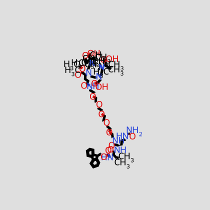 CC(C)[C@@H](NC(=O)OCC1c2ccccc2-c2ccccc21)C(=O)N[C@H](CCCNC(N)=O)C(=O)NCCOCCOCCOCCOCCOCCNC(=O)CCC(C(=O)OC(C)(C)C)N1CCN(CC(=O)O)CCN(C(C(=O)O)C(C)(C)C)CCN(C(C(=O)O)(C(C)(C)C)C(C)(C)C)CC1